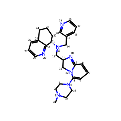 CN1CCN(C2=CC=CC3=NC(CN(Cc4cccnc4)[C@H]4CCCc5cccnc54)CN23)CC1